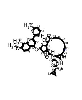 COc1ccc2c(O[C@H]3CC4C(=O)N(C)CCCC/C=C\[C@@H]5C[C@@]5(C(=O)NS(=O)(=O)C5CC5)NC(=O)[C@@H]4C3)cc(-c3cccc(C)n3)nc2c1C